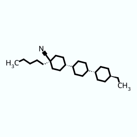 CCCCC[C@]1(C#N)CC[C@H](C2CCC([C@H]3CC[C@H](CC)CC3)CC2)CC1